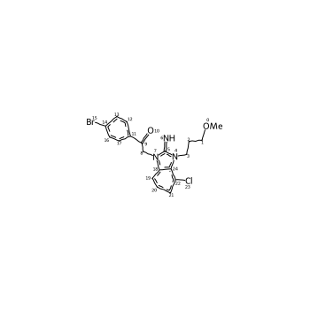 COCCCn1c(=N)n(CC(=O)c2ccc(Br)cc2)c2cccc(Cl)c21